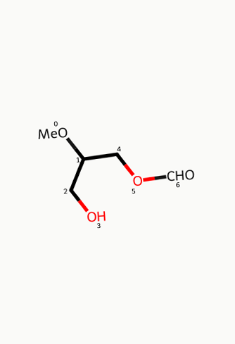 COC(CO)COC=O